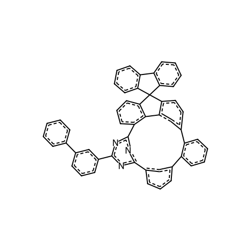 c1ccc(-c2cccc(-c3nc4nc(n3)-c3cccc5c3-c3cc(ccc3C53c5ccccc5-c5ccccc53)-c3ccccc3-c3cccc-4c3)c2)cc1